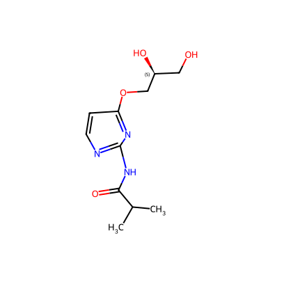 CC(C)C(=O)Nc1nccc(OC[C@@H](O)CO)n1